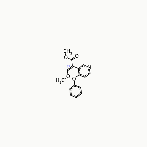 CO/C=C(/C(=O)OC)c1cnccc1Oc1ccccc1